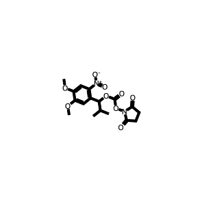 COc1cc(C(OC(=O)ON2C(=O)CCC2=O)C(C)C)c([N+](=O)[O-])cc1OC